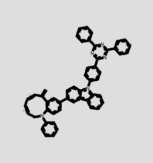 C=C1/C=C\C=C/CN(c2ccccc2)c2ccc(-c3ccc4c(c3)c3ccccc3n4-c3ccc(-c4nc(-c5ccccc5)nc(-c5ccccc5)n4)cc3)cc21